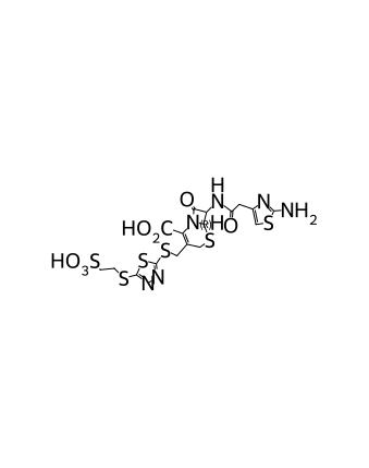 Nc1nc(CC(=O)NC2C(=O)N3C(C(=O)O)=C(CSc4nnc(SCCS(=O)(=O)O)s4)CS[C@H]23)cs1